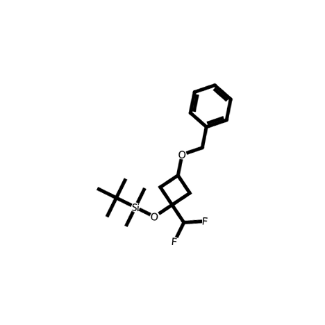 CC(C)(C)[Si](C)(C)OC1(C(F)F)CC(OCc2ccccc2)C1